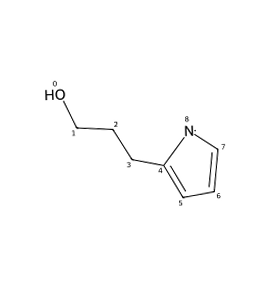 OCCCC1=CC=C[N]1